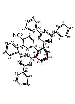 N#Cc1ccc(-c2ccccc2-c2nc(-c3ccccc3)nc(-c3ccccc3)n2)cc1-c1ccccc1-c1nc(-c2ccccc2)nc(-c2ccccc2)n1